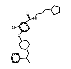 CC(CN1CCC(Oc2ccc(C(=O)NCCCN3CCCC3)cc2Cl)CC1)c1ccccc1